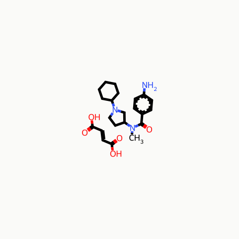 CN(C(=O)c1ccc(N)cc1)C1CCN(C2CCCCC2)C1.O=C(O)/C=C/C(=O)O